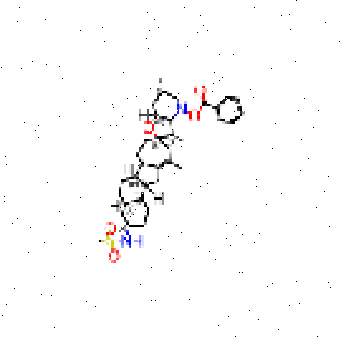 CC1=C2C[C@H]3[C@@H](CC[C@@H]4C[C@H](NS(C)(=O)=O)CC[C@@]43C)C2CC[C@@]2(C1)O[C@@H]1C[C@H](C)CN(OC(=O)c3ccccc3)C1[C@H]2C